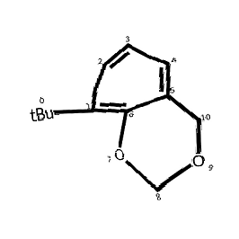 CC(C)(C)c1cccc2c1OCOC2